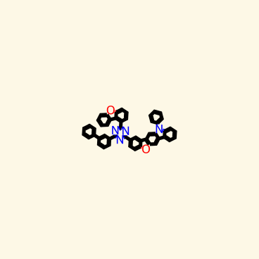 c1ccc(-c2cccc(-c3nc(-c4ccc5oc6cc7c8ccccc8n(-c8ccccc8)c7cc6c5c4)nc(-c4cccc5oc6ccccc6c45)n3)c2)cc1